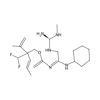 C=C(/N=C(\CN[C@@H](N)NC)NC1CCCCC1)OCC(/C=C/C)(C(=C)C)C(F)F